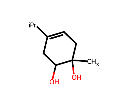 CC(C)C1=CCC(C)(O)C(O)C1